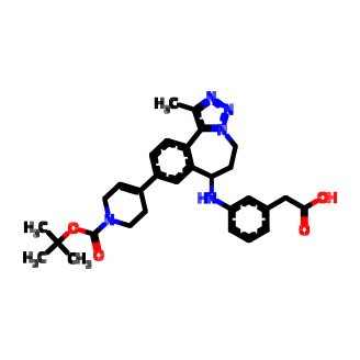 Cc1nnn2c1-c1ccc(C3=CCN(C(=O)OC(C)(C)C)CC3)cc1C(Nc1cccc(CC(=O)O)c1)CC2